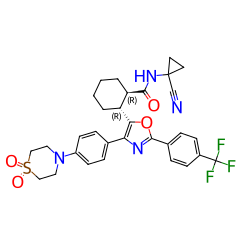 N#CC1(NC(=O)[C@@H]2CCCC[C@H]2c2oc(-c3ccc(C(F)(F)F)cc3)nc2-c2ccc(N3CCS(=O)(=O)CC3)cc2)CC1